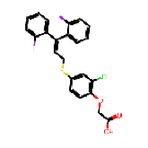 O=C(O)COc1ccc(SCC=C(c2ccccc2I)c2ccccc2I)cc1Cl